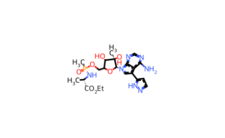 CCOC(=O)[C@H](C)NP(C)(=O)OCC1O[C@@H](n2cc(-c3ccn[nH]3)c3c(N)ncnc32)[C@](C)(O)[C@@H]1O